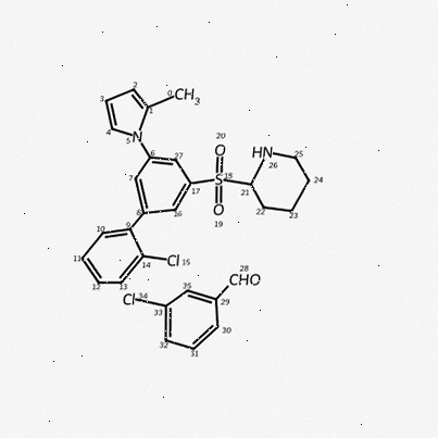 Cc1cccn1-c1cc(-c2ccccc2Cl)cc(S(=O)(=O)C2CCCCN2)c1.O=Cc1cccc(Cl)c1